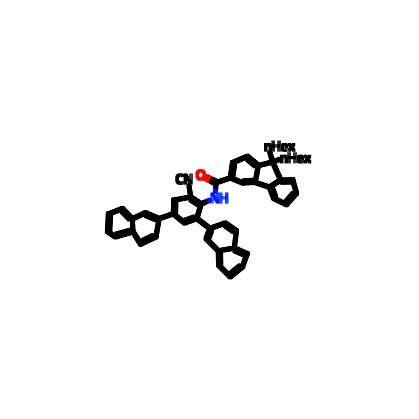 CCCCCCC1(CCCCCC)c2ccccc2-c2cc(C(=O)Nc3c(C#N)cc(-c4ccc5ccccc5c4)cc3-c3ccc4ccccc4c3)ccc21